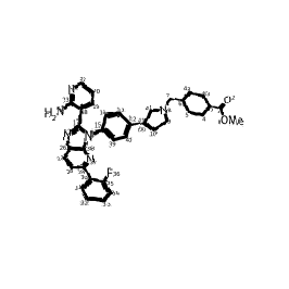 COC(=O)[C@H]1CC[C@@H](CN2CC[C@@H](c3ccc(-n4c(-c5cccnc5N)nc5ccc(-c6ccccc6F)nc54)cc3)C2)CC1